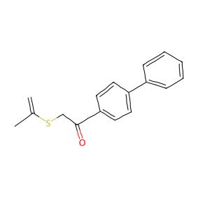 C=C(C)SCC(=O)c1ccc(-c2ccccc2)cc1